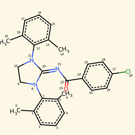 Cc1cccc(C)c1N1CCN(c2c(C)cccc2C)C1=NC(=O)c1ccc(Cl)cc1